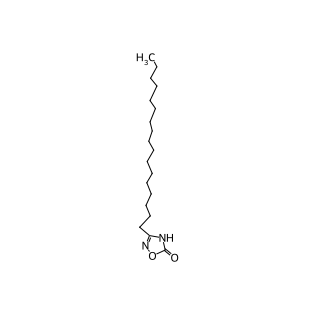 CCCCCCCCCCCCCCCCCc1noc(=O)[nH]1